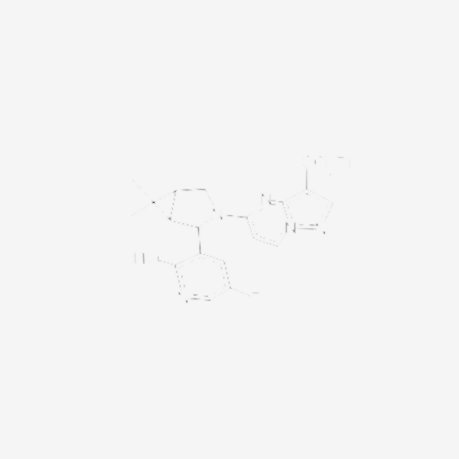 CCOC(=O)c1cnn2ccc(N3CC4C(C3c3cc(F)cnc3O)C4(C)C)nc12